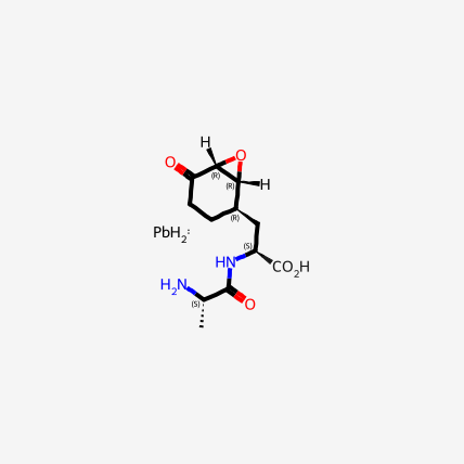 C[C@H](N)C(=O)N[C@@H](C[C@H]1CCC(=O)[C@@H]2O[C@H]12)C(=O)O.[PbH2]